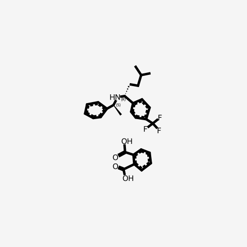 CC(C)CC[C@@H](N[C@@H](C)c1ccccc1)c1ccc(C(F)(F)F)cc1.O=C(O)c1ccccc1C(=O)O